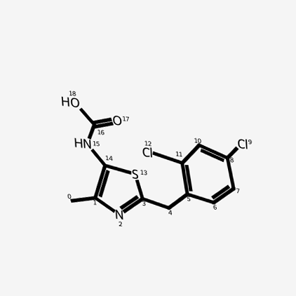 Cc1nc(Cc2ccc(Cl)cc2Cl)sc1NC(=O)O